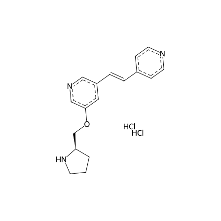 C(=C\c1cncc(OC[C@H]2CCCN2)c1)/c1ccncc1.Cl.Cl